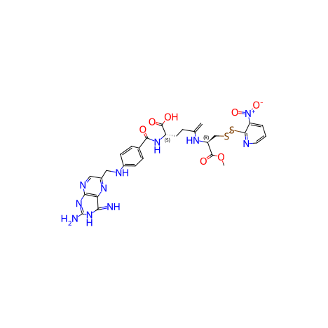 C=C(CC[C@H](NC(=O)c1ccc(NCc2cnc3nc(N)[nH]c(=N)c3n2)cc1)C(=O)O)N[C@@H](CSSc1ncccc1[N+](=O)[O-])C(=O)OC